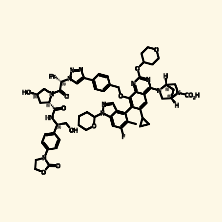 Cc1c(F)cc2c(cnn2C2CCCCO2)c1-c1c(C2CC2)cc2c(N3C[C@@H]4C[C@H]3CN4C(=O)O)nc(OC3CCOCC3)nc2c1OCc1ccc(-c2cn([C@H](C(=O)N3C[C@H](O)C[C@H]3C(=O)N[C@@H](CO)c3ccc(N4CCOC4=O)cc3)C(C)C)nn2)cc1